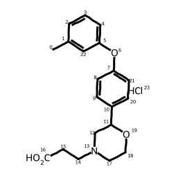 Cc1cccc(Oc2ccc(C3CN(CCC(=O)O)CCO3)cc2)c1.Cl